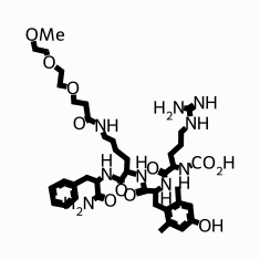 COCCOCCOCCC(=O)NCCCCC(NC(=O)C(Cc1c(C)cc(O)cc1C)NC(=O)C(CCCNC(=N)N)NC(=O)O)C(=O)NC(Cc1ccccc1)C(N)=O